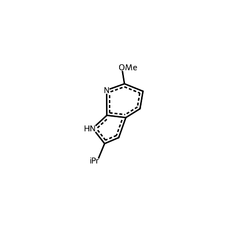 COc1ccc2cc(C(C)C)[nH]c2n1